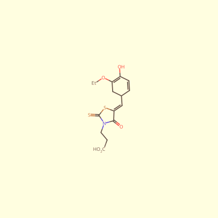 CCOC1=C(O)C=CC(/C=C2\SC(=S)N(CCC(=O)O)C2=O)C1